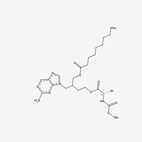 CCCCCCCCCCCCCCCCCC(=O)OCC(CCOC(=O)[C@@H](NC(=O)OC(C)(C)C)C(C)C)Cn1cnc2cnc(N)nc21